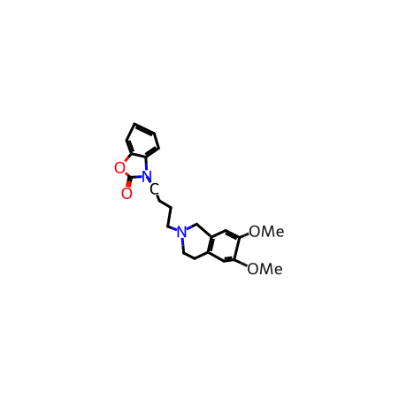 COc1cc2c(cc1OC)CN(CCCCn1c(=O)oc3ccccc31)CC2